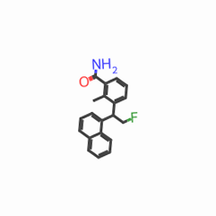 Cc1c(C(N)=O)cccc1C(CF)c1cccc2ccccc12